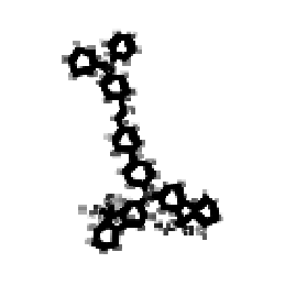 CC1(C)c2ccccc2-c2ccc(N(c3ccc(-c4ccc(/C=C/c5ccc(N(c6ccccc6)c6ccccc6)cc5)cc4)cc3)c3ccc4c(c3)C(C)(C)c3ccccc3-4)cc21